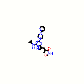 O=C1NCOC/C1=C\c1cnn2c(NC3CC3)nc(N3CCN(c4ccccn4)CC3)nc12